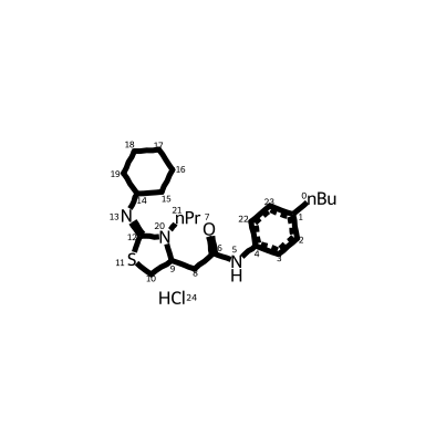 CCCCc1ccc(NC(=O)CC2CSC(=NC3CCCCC3)N2CCC)cc1.Cl